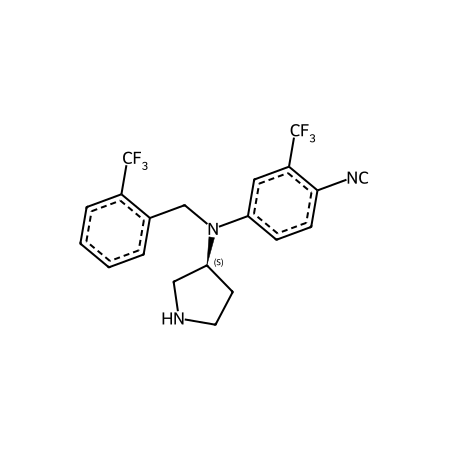 [C-]#[N+]c1ccc(N(Cc2ccccc2C(F)(F)F)[C@H]2CCNC2)cc1C(F)(F)F